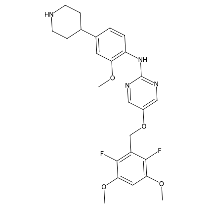 COc1cc(C2CCNCC2)ccc1Nc1ncc(OCc2c(F)c(OC)cc(OC)c2F)cn1